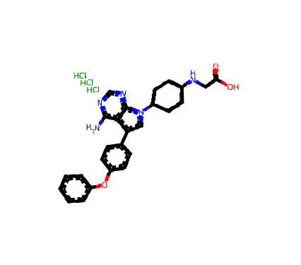 Cl.Cl.Cl.Nc1ncnc2c1c(-c1ccc(Oc3ccccc3)cc1)cn2C1CCC(NCC(=O)O)CC1